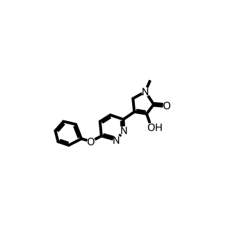 CN1CC(c2ccc(Oc3ccccc3)nn2)=C(O)C1=O